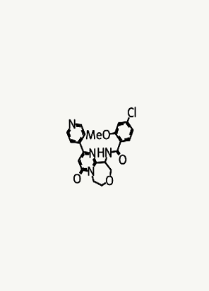 COc1cc(Cl)ccc1C(=O)NC1COCCn2c1nc(-c1ccncc1)cc2=O